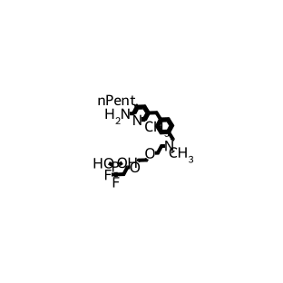 CCCCCc1cc(Cc2ccc(CN(C)CCOCCOCCC(F)(F)P(O)O)cc2)c(C)nc1N